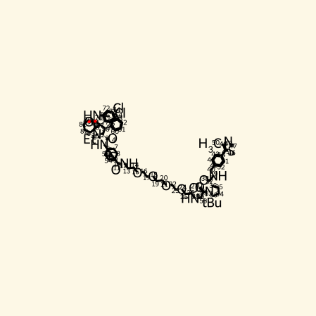 CCN1[C@@H](C(=O)NC23CCC(C(=O)NCCOCCOCCOCCOCC(=O)NC(C(=O)N4CCC[C@H]4C(=O)NCc4ccc(-c5scnc5C)cc4)C(C)(C)C)(CC2)CC3)[C@H](c2cccc(Cl)c2F)[C@]2(C(=O)Nc3cc(Cl)ccc32)C12CCCCC2